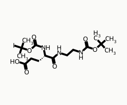 CC(C)(C)OC(=O)NCCNC(=O)[C@H](CCC(=O)O)NC(=O)OC(C)(C)I